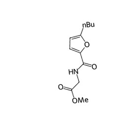 CCCCc1ccc(C(=O)NCC(=O)OC)o1